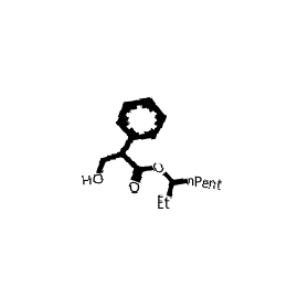 CCCCCC(CC)OC(=O)C(CO)c1ccccc1